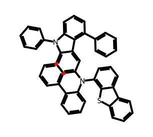 c1ccc(-c2ccccc2N(c2ccc3c(c2)c2c(-c4ccccc4)cccc2n3-c2ccccc2)c2cccc3c2sc2ccccc23)cc1